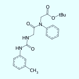 Cc1cccc(NC(=O)NCC(=O)N(CC(=O)OC(C)(C)C)c2ccccc2)c1